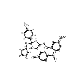 COc1ccc(C(=O)c2ccc(Cl)cc2)c(OCC2COC(Cn3ccnc3)(c3ccc(C#N)cc3)O2)c1